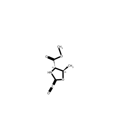 COC(=O)[C@H]1NC(=C=O)O[C@@H]1C